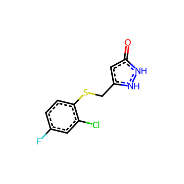 O=c1cc(CSc2ccc(F)cc2Cl)[nH][nH]1